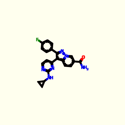 NC(=O)c1ccc2c(-c3ccnc(NC4CC4)n3)c(-c3ccc(F)cc3)nn2c1